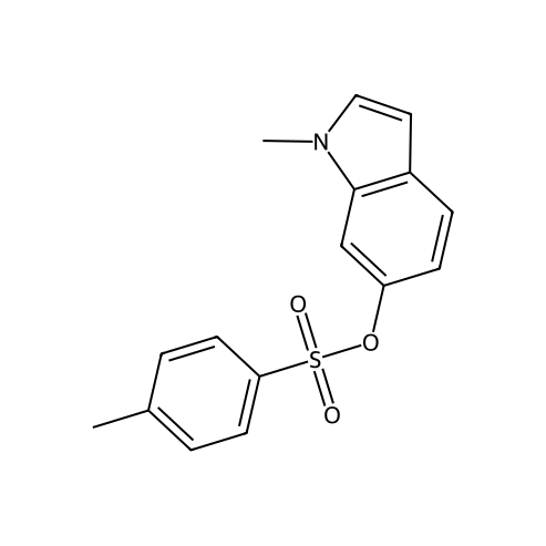 Cc1ccc(S(=O)(=O)Oc2ccc3ccn(C)c3c2)cc1